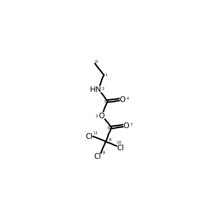 CCNC(=O)OC(=O)C(Cl)(Cl)Cl